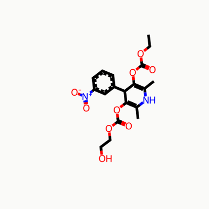 CCOC(=O)OC1=C(C)NC(C)=C(OC(=O)OCCO)C1c1cccc([N+](=O)[O-])c1